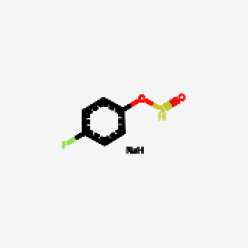 O=[SH]Oc1ccc(F)cc1.[NaH]